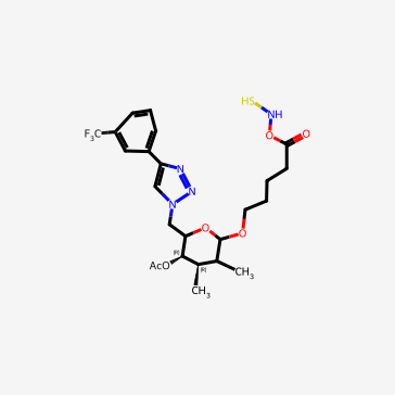 CC(=O)O[C@H]1C(Cn2cc(-c3cccc(C(F)(F)F)c3)nn2)OC(OCCCCC(=O)ONS)C(C)[C@H]1C